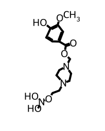 COc1cc(C(=O)OCN2CCN(CCON(O)O)CC2)ccc1O